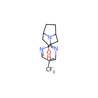 OC1CC2CCC(C1)N2c1ncc(C(F)(F)F)cn1